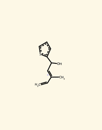 C=C/C(C)=C/C(O)c1cccs1